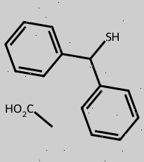 CC(=O)O.SC(c1ccccc1)c1ccccc1